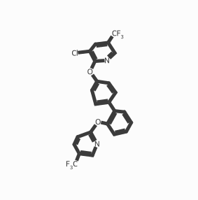 FC(F)(F)c1ccc(Oc2ccc[c]c2-c2ccc(Oc3ncc(C(F)(F)F)cc3Cl)cc2)nc1